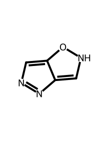 c1[nH]oc2cnnc1-2